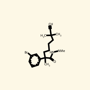 C#CC(C)(C)CCCCC(C)(C(=O)NNC)c1cccc(Br)c1